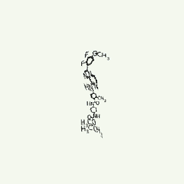 COc1ccc(-c2cnc3c(Nc4ccc(C(=O)NC5CCC(NC(=O)OC(C)(C)C)CC5)c(C)c4)nccn23)c(F)c1F